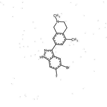 Cc1cc(-c2n[nH]c3cc(F)c(Br)cc23)cc2c1CCN(C)C2